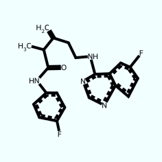 C=C(CCNc1ncnc2ccc(F)cc12)C(C)C(=O)Nc1ccc(F)cc1